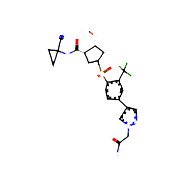 CO[C@@H]1CC(S(=O)(=O)c2ccc(-c3cnn(CC(N)=O)c3)cc2C(F)(F)F)C[C@H]1C(=O)NC1(C#N)CC1